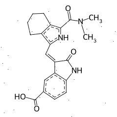 CN(C)C(=O)c1[nH]c(C=C2C(=O)Nc3ccc(C(=O)O)cc32)c2c1CCCC2